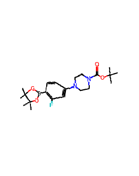 CC(C)(C)OC(=O)N1CCN(c2ccc(B3OC(C)(C)C(C)(C)O3)c(F)c2)CC1